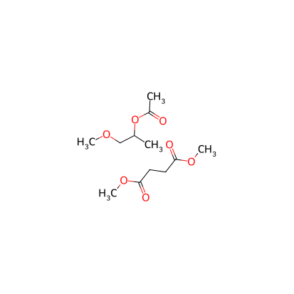 COC(=O)CCC(=O)OC.COCC(C)OC(C)=O